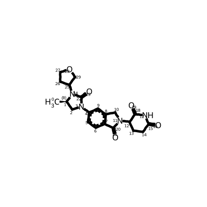 C[C@@H]1CN(c2ccc3c(c2)CN(C2CCC(=O)NC2=O)C3=O)C(=O)N1C1CCOC1